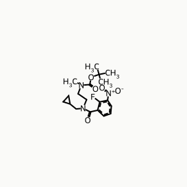 CN(CCN(CC1CC1)C(=O)c1cccc([N+](=O)[O-])c1F)C(=O)OC(C)(C)C